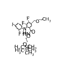 C=CCOCc1cc(C(=O)NOCCO[Si](C)(C)C(C)(C)C)c(Nc2ccc(I)cc2F)c(F)c1F